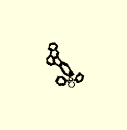 O=P(c1ccccc1)(c1ccccc1)c1ccc2c(c1)-c1cccc3c1c-2cc1ccccc13